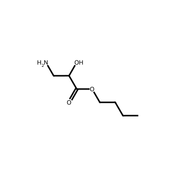 CCCCOC(=O)C(O)CN